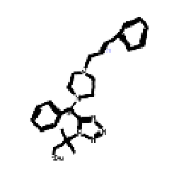 CC(C)(C)CC(C)(C)n1nnnc1[C@@H](c1ccccc1)N1CCN(C/C=C/c2ccccc2)CC1